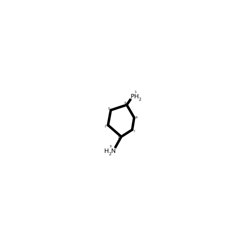 NC1CCC(P)CC1